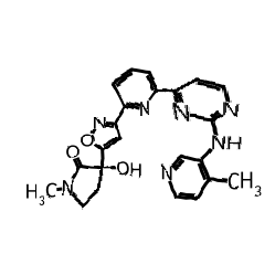 Cc1ccncc1Nc1nccc(-c2cccc(-c3cc([C@]4(O)CCN(C)C4=O)on3)n2)n1